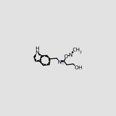 C=NO/C(CCO)=N\Cc1ccc2cc[nH]c2c1